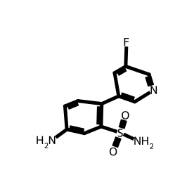 Nc1ccc(-c2cncc(F)c2)c(S(N)(=O)=O)c1